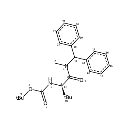 CN(C(=O)[C@H](NC(=O)OC(C)(C)C)C(C)(C)C)C(c1ccccc1)c1ccccc1